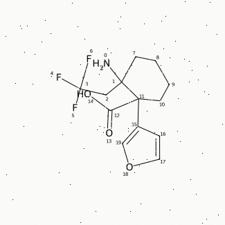 NC1(CC(F)(F)F)CCCCC1(C(=O)O)c1ccoc1